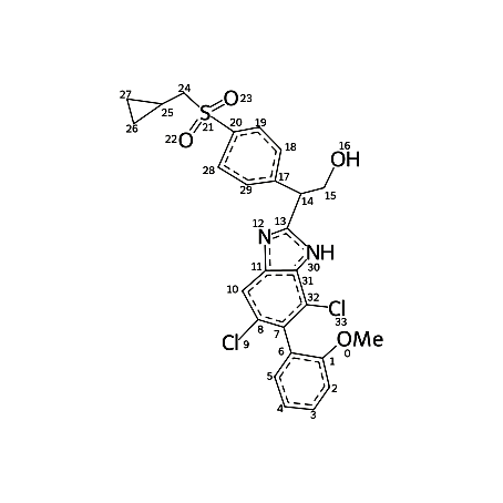 COc1ccccc1-c1c(Cl)cc2nc(C(CO)c3ccc(S(=O)(=O)CC4CC4)cc3)[nH]c2c1Cl